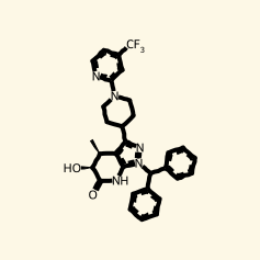 C[C@H]1c2c(C3CCN(c4cc(C(F)(F)F)ccn4)CC3)nn(C(c3ccccc3)c3ccccc3)c2NC(=O)[C@H]1O